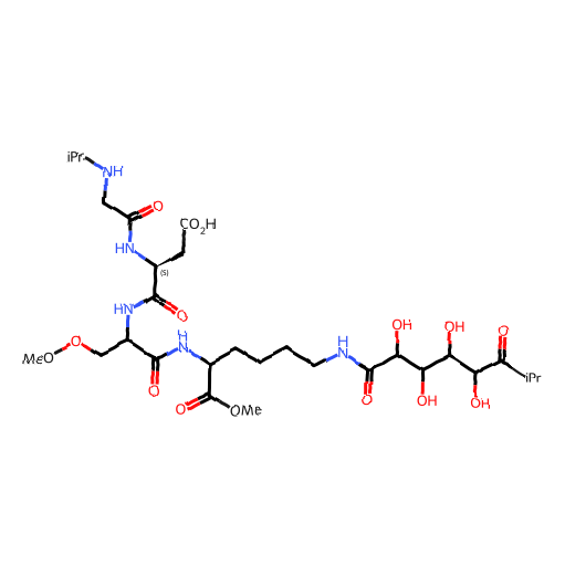 COOCC(NC(=O)[C@H](CC(=O)O)NC(=O)CNC(C)C)C(=O)NC(CCCCNC(=O)C(O)C(O)C(O)C(O)C(=O)C(C)C)C(=O)OC